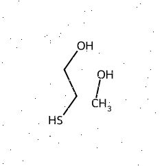 CO.OCCS